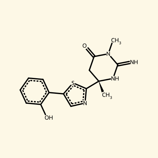 CN1C(=N)N[C@](C)(c2ncc(-c3ccccc3O)s2)CC1=O